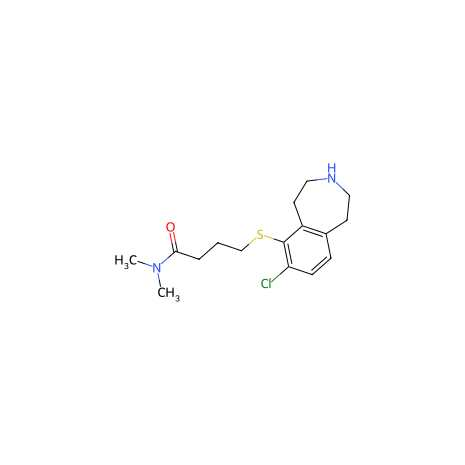 CN(C)C(=O)CCCSc1c(Cl)ccc2c1CCNCC2